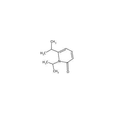 CC(C)c1cccc(=O)n1C(C)C